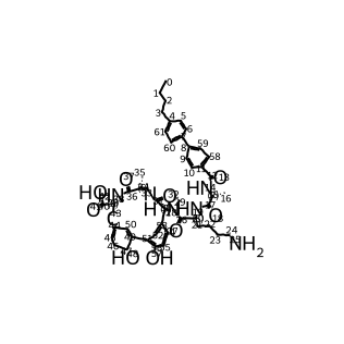 CCCCc1ccc(-c2ccc(C(=O)N[C@H](C)C(=O)N[C@@H](CCCCN)C(=O)N(C)[C@@H]3C(=O)N[C@@H](C)C(=O)N[C@H](C(=O)O)CC4=CCC(O)C(=C4)c4cc3ccc4O)cc2)cc1